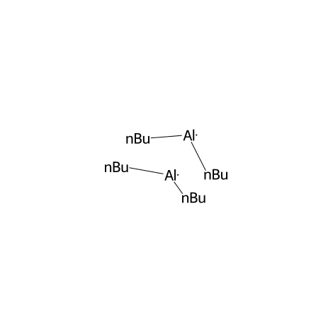 CCC[CH2][Al][CH2]CCC.CCC[CH2][Al][CH2]CCC